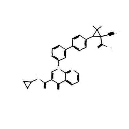 CC1(C)C(c2ccc(-c3cccc(-n4cc(C(=O)NC5CC5)c(=O)c5cccnc54)c3)cc2)C1(C#N)C(=O)O